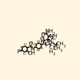 CN(C)CC(C)(C)CN(C(=O)c1nc[nH]c1C(N)=O)c1ccc(NC(=O)c2ccc(F)cc2Cl)cc1